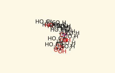 CC(=O)O.O=C(O)/C=C\C(=O)O.O=C(O)C(=O)O.O=C(O)C(O)C(O)C(=O)O.O=C(O)CC(=O)O.O=C(O)CC(O)(CC(=O)O)C(=O)O.O=C(O)CC(O)C(=O)O.O=C(O)c1ccccc1C(=O)O